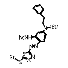 CCSc1nnc(N=Nc2ccc(N(CCc3ccccc3)C(C)CC)cc2NC(C)=O)s1